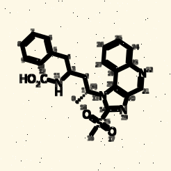 C[C@H](CC(Cc1ccccc1)NC(=O)O)n1c(S(C)(=O)=O)nc2cnc3ccccc3c21